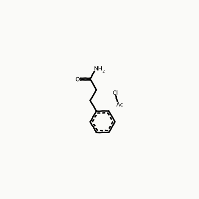 CC(=O)Cl.NC(=O)CCc1ccccc1